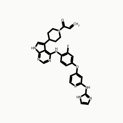 C=CC(=O)N1CCC(c2c[nH]c3ncnc(Nc4ccc(Oc5ccnc(Nc6ncc[nH]6)c5)cc4F)c23)CC1